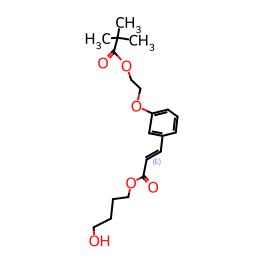 CC(C)(C)C(=O)OCCOc1cccc(/C=C/C(=O)OCCCCO)c1